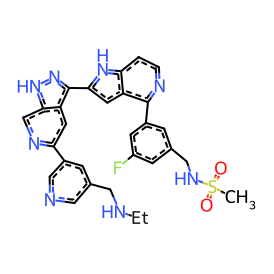 CCNCc1cncc(-c2cc3c(-c4cc5c(-c6cc(F)cc(CNS(C)(=O)=O)c6)nccc5[nH]4)n[nH]c3cn2)c1